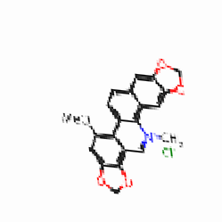 COc1cc2c(c3c[n+](C)c4c5cc6c(cc5ccc4c13)OCO6)OCO2.[Cl-]